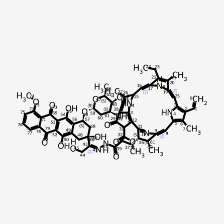 C=Cc1c2[nH]c(c1C)/C=C1\N=C(C3=C4NC(/C=c5\[nH]/c(c(C)c5CC)=C\2)C(C)=C4C(=O)C3C(=O)OC)[C@@H](CCC(=O)N/N=C(/CO)[C@]2(O)Cc3c(O)c4c(c(O)c3[C@@H](O[C@H]3C[C@H](N)[C@H](O)[C@H](C)O3)C2)C(=O)c2c(OC)cccc2C4=O)[C@@H]1C